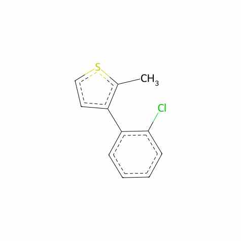 Cc1sccc1-c1ccccc1Cl